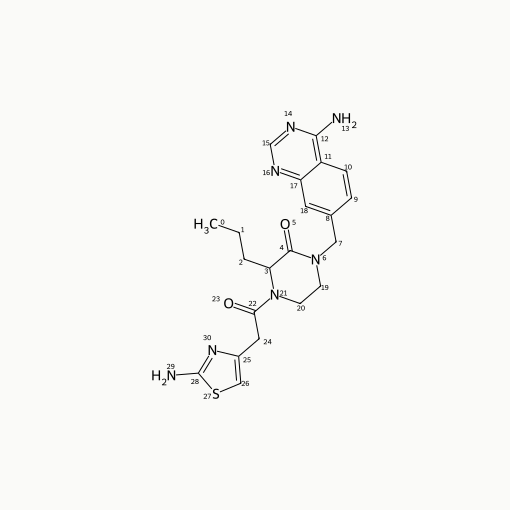 CCCC1C(=O)N(Cc2ccc3c(N)ncnc3c2)CCN1C(=O)Cc1csc(N)n1